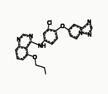 CCCOc1cccc2ncnc(Nc3ccc(Oc4ccn5ncnc5c4)c(Cl)c3)c12